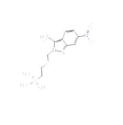 C[Si](C)(C)CCOCn1nc2cc([N+](=O)[O-])ccc2c1N